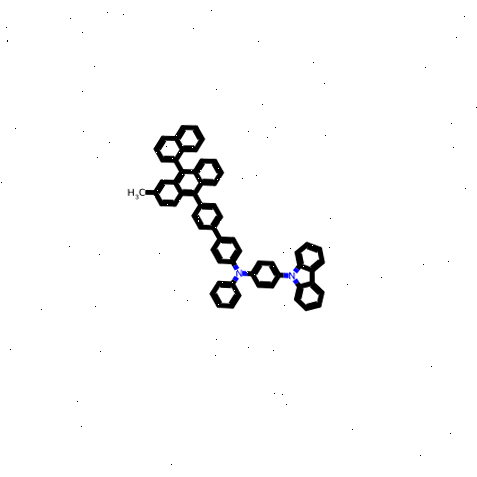 Cc1ccc2c(-c3ccc(-c4ccc(N(c5ccccc5)c5ccc(-n6c7ccccc7c7ccccc76)cc5)cc4)cc3)c3ccccc3c(-c3cccc4ccccc34)c2c1